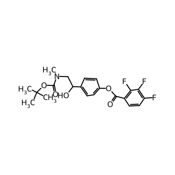 CN(CC(O)c1ccc(OC(=O)c2ccc(F)c(F)c2F)cc1)C(=O)OC(C)(C)C